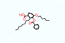 CCCCCCCCc1c(C(=O)O)ccc(OCCCCCC)c1OC(=O)c1ccccc1